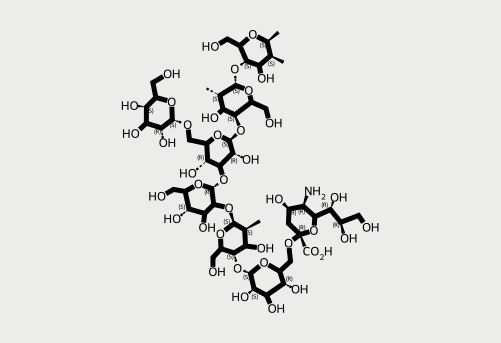 C[C@@H]1OC(CO)[C@@H](O[C@@H]2OC(CO)[C@@H](O[C@@H]3OC(CO[C@H]4OC(CO)[C@@H](O)C(O)[C@H]4O)[C@@H](O)C(O[C@H]4OC(CO)[C@@H](O)C(O)C4O[C@@H]4OC(CO)[C@@H](O[C@@H]5OC(CO[C@]6(C(=O)O)C[C@@H](O)[C@@H](N)C([C@H](O)[C@H](O)CO)O6)[C@H](O)C(O)[C@@H]5O)C(O)[C@@H]4C)[C@H]3O)C(O)[C@@H]2C)C(O)[C@@H]1C